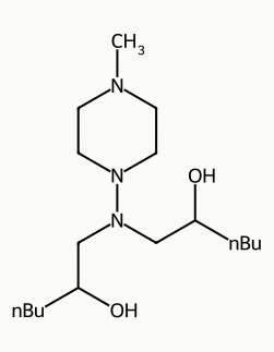 CCCCC(O)CN(CC(O)CCCC)N1CCN(C)CC1